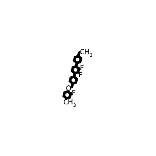 CCC1CCC(C2CCC(C3CCC(COC4CCC(C)CC4F)CC3)C(F)C2F)CC1